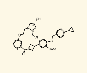 COc1cc(C2CN(C(=O)c3cc(OCCN4C[C@H](O)C[C@H]4CO)ccn3)C2)ccc1OCc1ccc(C2CC2)cc1